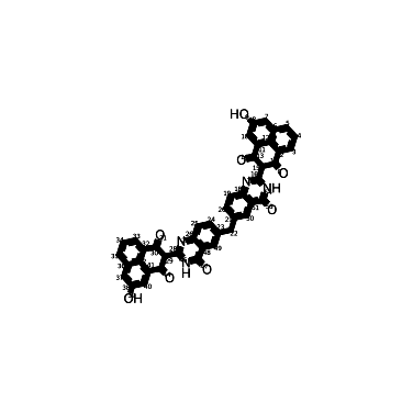 O=C1c2cccc3cc(O)cc(c23)C(=O)C1c1nc2ccc(Cc3ccc4nc(C5C(=O)c6cccc7cc(O)cc(c67)C5=O)[nH]c(=O)c4c3)cc2c(=O)[nH]1